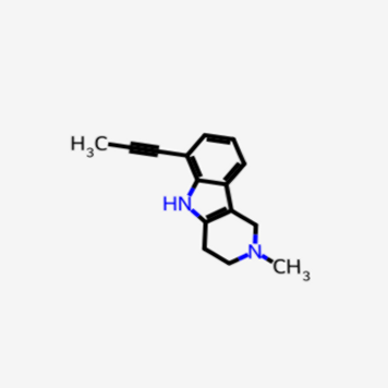 CC#Cc1cccc2c3c([nH]c12)CCN(C)C3